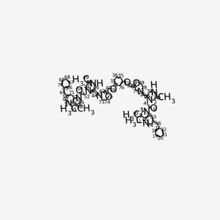 C[C@@H]1CN(CC(=O)N2CC(C)(C)c3ncc(Cc4ccccc4)cc32)[C@@H](CN2CCO[C@H](COc3cccc(OC[C@@H]4CN(C[C@H]5CN[C@H](C)CN5CC(=O)N5CC(C)(C)c6ncc(Cc7ccccc7)cc65)CCO4)c3)C2)CN1